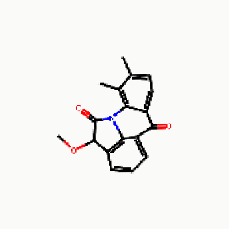 COC1C(=O)n2c3c1cccc3c(=O)c1ccc(C)c(C)c12